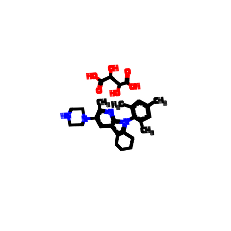 Cc1cc(C)c(-n2c3c(c4cc(N5CCNCC5)c(C)nc42)CCCC3)c(C)c1.O=C(O)C(O)C(O)C(=O)O